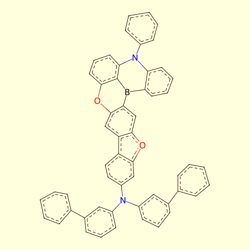 c1ccc(-c2cccc(N(c3cccc(-c4ccccc4)c3)c3ccc4c(c3)oc3cc5c(cc34)Oc3cccc4c3B5c3ccccc3N4c3ccccc3)c2)cc1